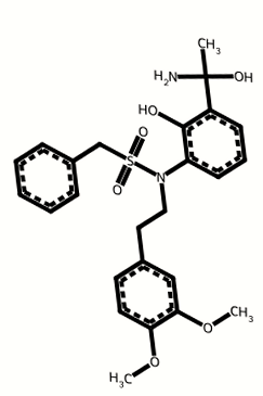 COc1ccc(CCN(c2cccc(C(C)(N)O)c2O)S(=O)(=O)Cc2ccccc2)cc1OC